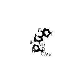 COC(=O)c1cnccc1Nc1cc(-c2cc(Cl)ccc2F)ncc1C(C)C